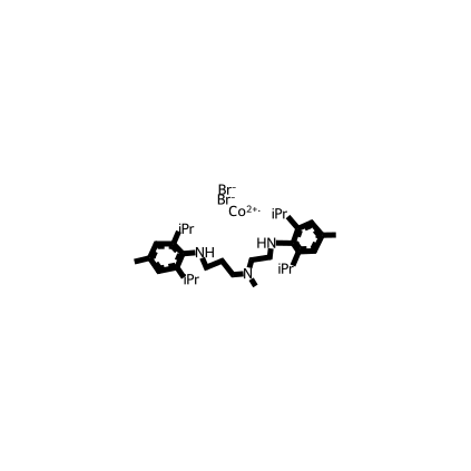 Cc1cc(C(C)C)c(NCCCN(C)CCNc2c(C(C)C)cc(C)cc2C(C)C)c(C(C)C)c1.[Br-].[Br-].[Co+2]